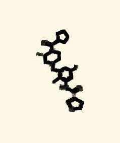 Cc1c(CN2CCN(C(=O)C3CCCC3)[C@@H](C)C2)cc(F)cc1NC(=O)[C@@H]1CCOC1